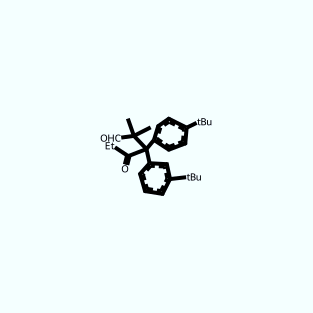 CCC(=O)C(c1ccc(C(C)(C)C)cc1)(c1cccc(C(C)(C)C)c1)C(C)(C)C=O